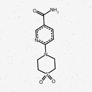 NC(=O)c1ccc(N2CCS(=O)(=O)CC2)nc1